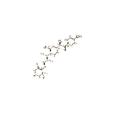 CC1=C(/C=C/C(C)=C(\F)c2ccc(C(=O)Nc3ccc(O)cc3)cc2F)C(C)(C)CCC1